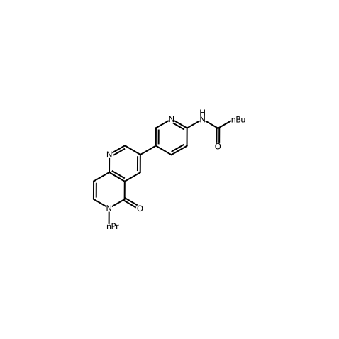 CCCCC(=O)Nc1ccc(-c2cnc3ccn(CCC)c(=O)c3c2)cn1